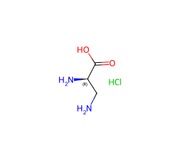 Cl.NC[C@@H](N)C(=O)O